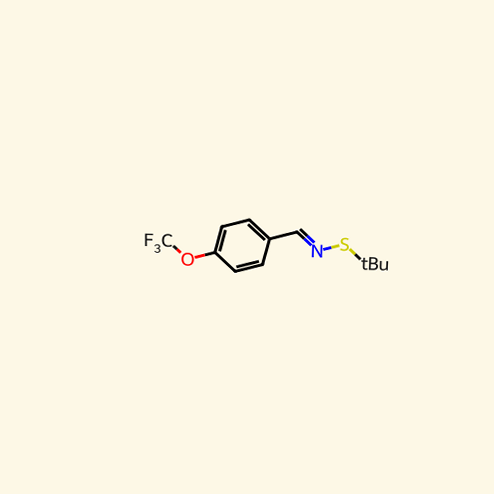 CC(C)(C)S/N=C/c1ccc(OC(F)(F)F)cc1